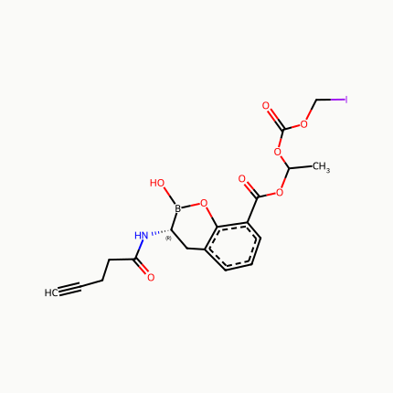 C#CCCC(=O)N[C@H]1Cc2cccc(C(=O)OC(C)OC(=O)OCI)c2OB1O